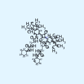 CC(C)N1c2cc(NC(=O)CCNC(=O)NC3CCCCC3)c(C3=C([O-])/C(=c4/cc5c(cc4NC(=O)CCNC(=O)NC4CCCCC4)=[N+](C(C)C)C(C)C5(C)C)C3=O)cc2C(C)(C)C1C